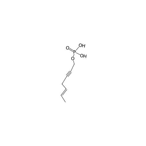 CC=CCC#CCOP(=O)(O)O